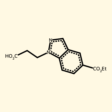 CCOC(=O)c1ccc2c(cnn2CCC(=O)O)c1